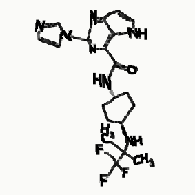 CC(C)(N[C@H]1CC[C@H](NC(=O)c2nc(-n3ccnc3)nc3cc[nH]c23)CC1)C(F)(F)F